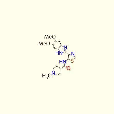 COc1cc2nc(-c3ncsc3NC(=O)C3CCN(C)CC3)[nH]c2cc1OC